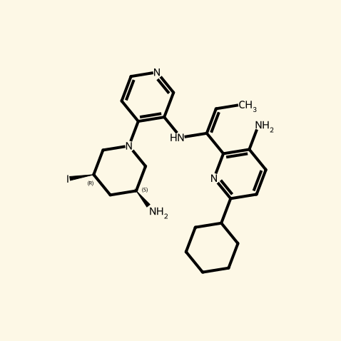 CC=C(Nc1cnccc1N1C[C@@H](N)C[C@@H](I)C1)c1nc(C2CCCCC2)ccc1N